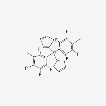 Fc1c(F)c(F)[c]([Zr]([C]2=CC=CC2)([C]2=CC=CC2)[c]2c(F)c(F)c(F)c(F)c2F)c(F)c1F